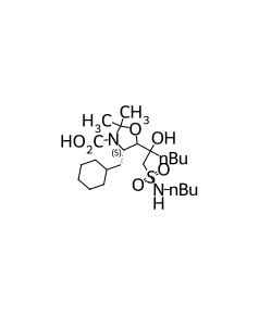 CCCCNS(=O)(=O)CC(O)(CCCC)C1OC(C)(C)N(C(=O)O)[C@H]1CC1CCCCC1